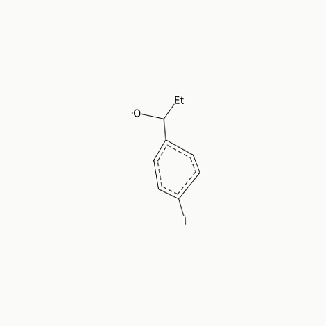 CCC([O])c1ccc(I)cc1